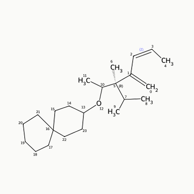 C=C(/C=C\C)[C@@](C)(C(C)C)C(C)OC1CCC2(CCCCC2)CC1